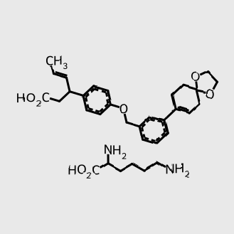 CC=CC(CC(=O)O)c1ccc(OCc2cccc(C3=CCC4(CC3)OCCO4)c2)cc1.NCCCCC(N)C(=O)O